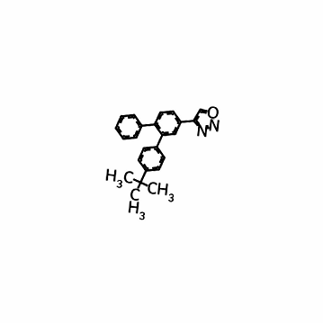 CC(C)(C)c1ccc(-c2cc(-c3conn3)ccc2-c2ccccc2)cc1